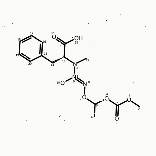 COC(=O)OC(C)O/N=[N+](\[O-])N(C)[C@@H](Cc1ccccc1)C(=O)O